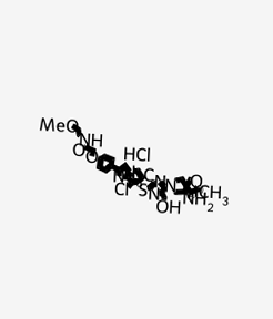 COCCNC(=O)COc1ccc(-c2cn3ccc(Sc4nc(CO)c(N5CCC6(CC5)CO[C@@H](C)[C@H]6N)nc4C)c(Cl)c3n2)cc1.Cl